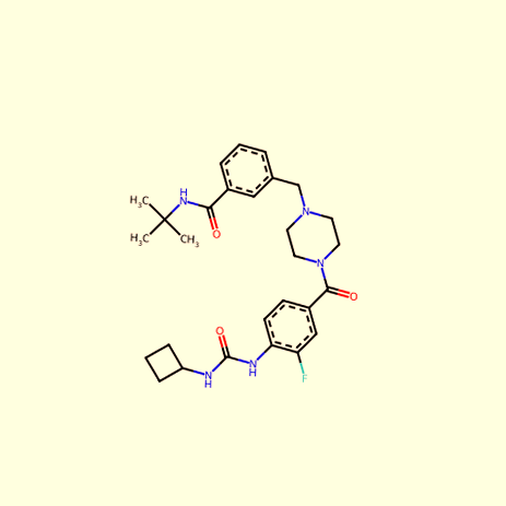 CC(C)(C)NC(=O)c1cccc(CN2CCN(C(=O)c3ccc(NC(=O)NC4CCC4)c(F)c3)CC2)c1